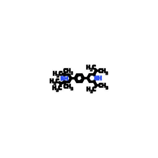 CC(C)C1CC(c2ccc(C3CC(C)(C)NC(C)(C(C)C)C3)cc2)CC(C(C)C)N1